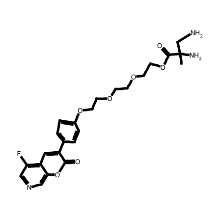 CC(N)(CN)C(=O)OCCOCCOCCOc1ccc(-c2cc3c(F)cncc3oc2=O)cc1